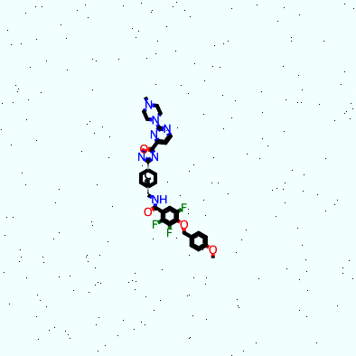 COc1ccc(COc2c(F)cc(C(=O)NC[C@]34CC[C@](c5noc(-c6ccnc(N7CCN(C)CC7)n6)n5)(CC3)CC4)c(F)c2F)cc1